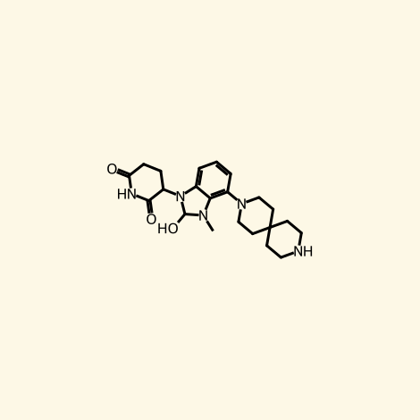 CN1c2c(N3CCC4(CCNCC4)CC3)cccc2N(C2CCC(=O)NC2=O)C1O